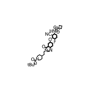 CC(C)(C)OC(=O)N1CCC(CCn2cnc3ccc(Oc4c(F)ccc(NS(=O)(=O)N5CCC5)c4C#N)cc3c2=O)CC1